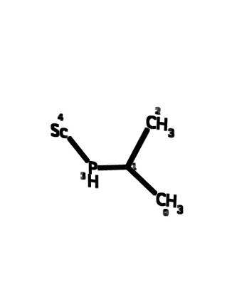 CC(C)[PH][Sc]